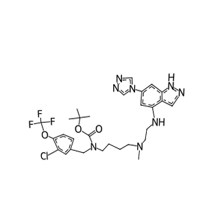 CN(CCCCN(Cc1ccc(OC(F)(F)F)c(Cl)c1)C(=O)OC(C)(C)C)CCNc1cc(-n2cnnc2)cc2[nH]ncc12